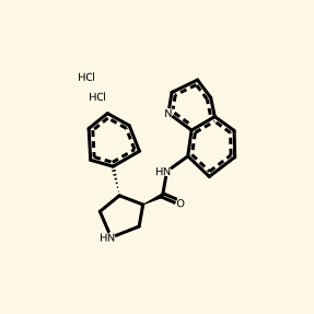 Cl.Cl.O=C(Nc1cccc2cccnc12)[C@H]1CNC[C@@H]1c1ccccc1